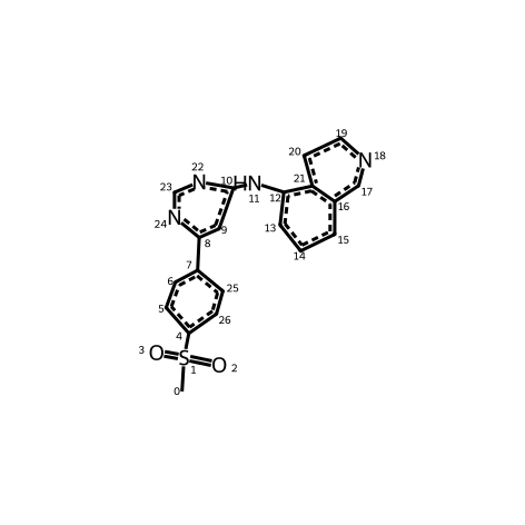 CS(=O)(=O)c1ccc(-c2cc(Nc3cccc4cnccc34)ncn2)cc1